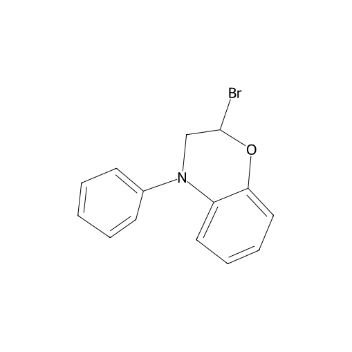 BrC1CN(c2ccccc2)c2ccccc2O1